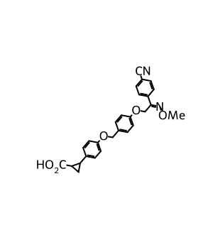 CO/N=C(\COc1ccc(COc2ccc(C3CC3C(=O)O)cc2)cc1)c1ccc(C#N)cc1